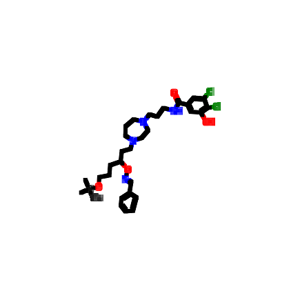 CC(C)(C)[Si](C)(C)OCCCC(CCN1CCCN(CCCNC(=O)c2cc(O)c(Cl)c(Cl)c2)CC1)O/N=C/c1ccccc1